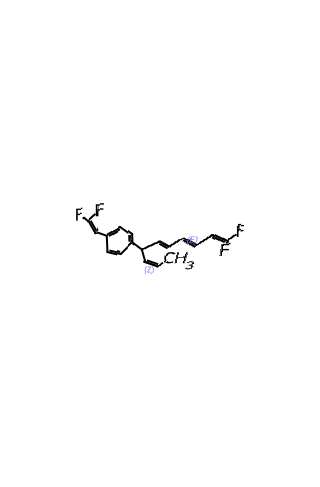 C/C=C\C(C=C/C=C/C=C(F)F)c1ccc(C=C(F)F)cc1